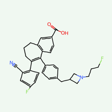 N#Cc1cc(F)ccc1C1=C(c2ccc(CC3CN(CCCF)C3)cc2)c2ccc(C(=O)O)cc2CCC1